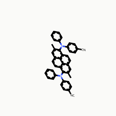 [C-]#[N+]c1ccc(N(c2ccccc2)c2c(C)cc3ccc4c(N(c5ccccc5)c5ccc(C#N)cc5)c(C)cc5ccc2c3c54)cc1